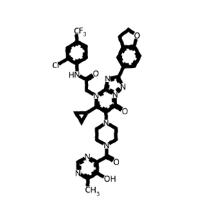 Cc1ncnc(C(=O)N2CCN(c3c(C4CC4)n(CC(=O)Nc4ccc(C(F)(F)F)cc4Cl)c4nc(-c5ccc6c(c5)CCO6)nn4c3=O)CC2)c1O